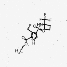 CCOC(=O)c1[nH]cc(S(=O)(=O)NC2(C(F)(F)F)CCC2)c1CF